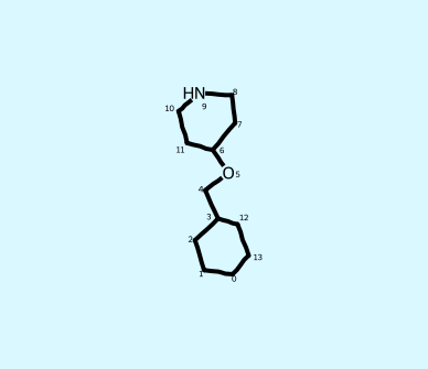 C1CCC(COC2CCNCC2)CC1